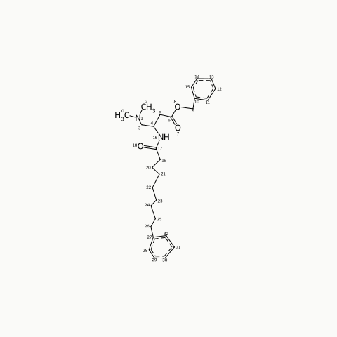 CN(C)CC(CC(=O)OCc1ccccc1)NC(=O)CCCCCCCCc1ccccc1